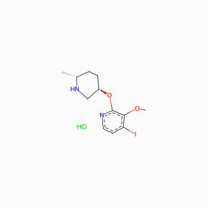 COc1c(I)ccnc1O[C@@H]1CC[C@@H](C)NC1.Cl